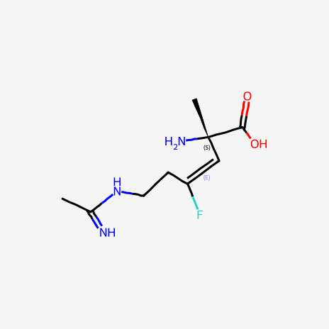 CC(=N)NCC/C(F)=C\[C@](C)(N)C(=O)O